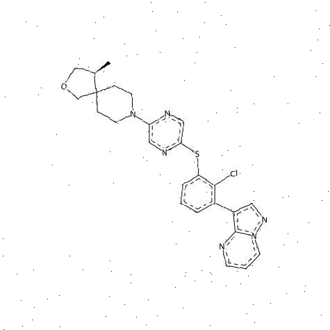 C[C@@H]1COCC12CCN(c1cnc(Sc3cccc(-c4cnn5cccnc45)c3Cl)cn1)CC2